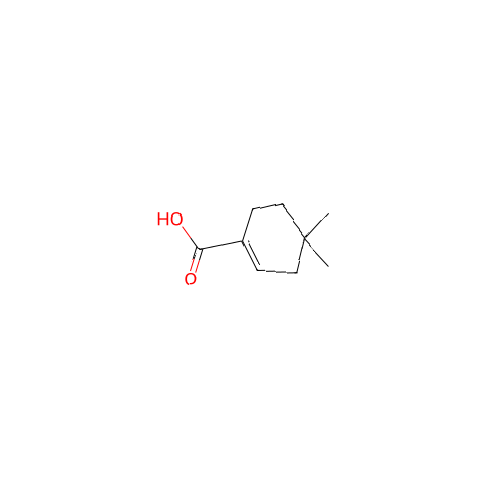 CC1(C)CC=C(C(=O)O)CC1